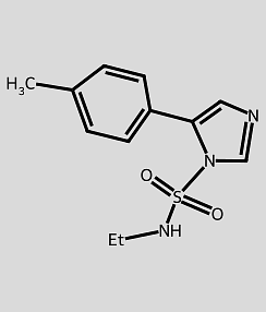 CCNS(=O)(=O)n1cncc1-c1ccc(C)cc1